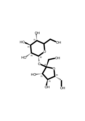 OCC1O[C@H](O[C@]2(CO)O[C@H](CO)[C@@H](O)[C@@H]2O)[C@H](O)[C@@H](O)[C@@H]1O